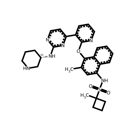 Cc1cc(NS(=O)(=O)C2(C)CCC2)c2ccccc2c1Oc1ncccc1-c1ccnc(N[C@H]2CCCNC2)n1